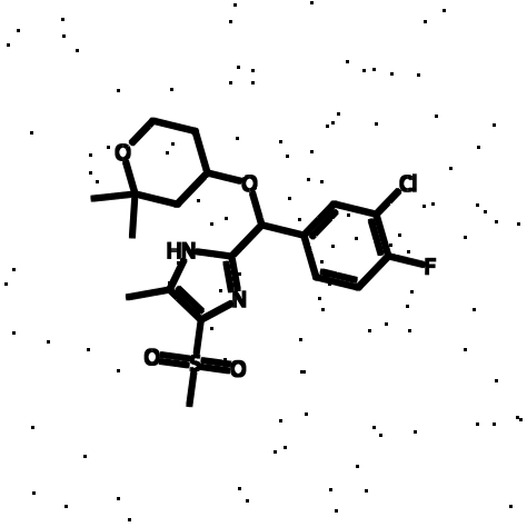 Cc1[nH]c(C(OC2CCOC(C)(C)C2)c2ccc(F)c(Cl)c2)nc1S(C)(=O)=O